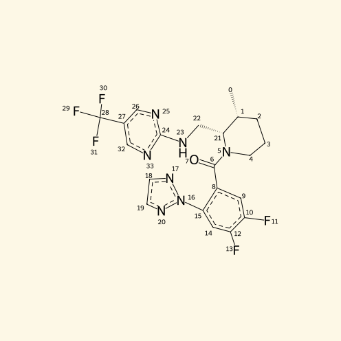 C[C@@H]1CCCN(C(=O)c2cc(F)c(F)cc2-n2nccn2)[C@@H]1CNc1ncc(C(F)(F)F)cn1